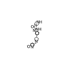 COc1ccc(CN2CCC(c3ccc4[nH]c(C(=O)N5CCNCC5)nc4c3)CC2)cn1